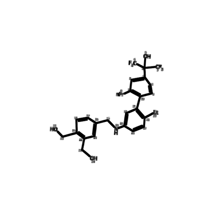 CCCc1cc(C(O)(C(F)(F)F)C(F)(F)F)ccc1-c1cc(NCc2ccc(CO)c(CO)c2)ccc1CC